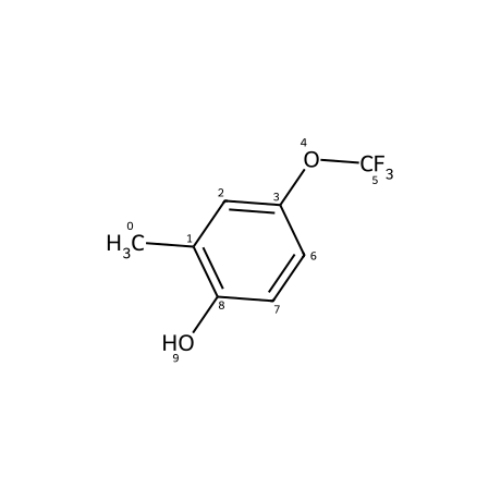 Cc1cc(OC(F)(F)F)ccc1O